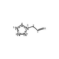 C=C[CH]n1cnnn1